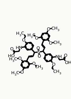 CCOc1ccc(C(C=Cc2c(OC)cc(OC)cc2OC)S(=O)(=O)C(C=Cc2c(OC)cc(OC)cc2OC)c2ccc(OCC)c(NCC(=O)O)c2)cc1NCC(=O)O